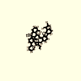 C=CC1C2C(c3ccccc3-c3cccc[n+]32)C12Cc1ccc3c(oc4c3ccc3sc(C)c(C)c34)c1-c1cc(-c3c(C)cccc3C)c(CC(C)(C)C)c[n+]12